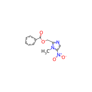 Cn1c([N+](=O)[O-])cnc1COC(=O)c1ccccc1